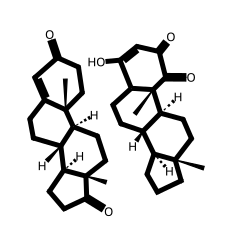 C[C@@]12CCC[C@H]1[C@@H]1CCC3C(O)=CC(=O)C(=O)[C@]3(C)[C@H]1CC2.C[C@]12CCC(=O)C=C1CC[C@@H]1[C@@H]2CC[C@]2(C)C(=O)CC[C@@H]12